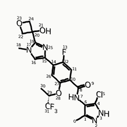 Cc1n[nH]c(Cl)c1NC(=O)c1cc(F)c(-c2cn(C)c(C3(O)COC3)n2)cc1O[C@@H](C)C(F)(F)F